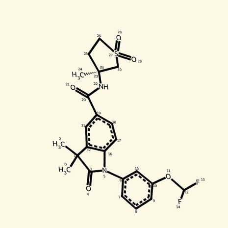 CC1(C)C(=O)N(c2cccc(OC(F)F)c2)c2ccc(C(=O)N[C@@]3(C)CCS(=O)(=O)C3)cc21